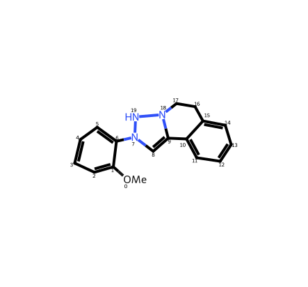 COc1ccccc1N1C=C2c3ccccc3CCN2N1